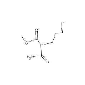 C=CCCC(C(N)=O)C(=O)OC